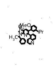 COc1ccc(C(C)C)cc1-c1cc2c(nc1-c1cccc3ncccc13)n(C(C)c1ccccc1)c[n+]2[O-]